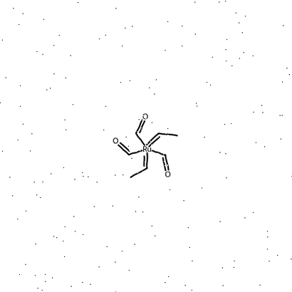 C[CH]=[Ru]([CH]=O)([CH]=O)([CH]=O)=[CH]C